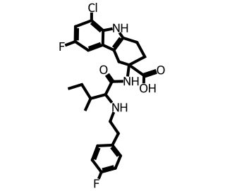 CCC(C)C(NCCc1ccc(F)cc1)C(=O)NC1(C(=O)O)CCc2[nH]c3c(Cl)cc(F)cc3c2C1